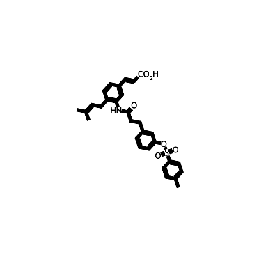 CC(C)=CCc1ccc(/C=C/C(=O)O)cc1NC(=O)CCc1cccc(OS(=O)(=O)c2ccc(C)cc2)c1